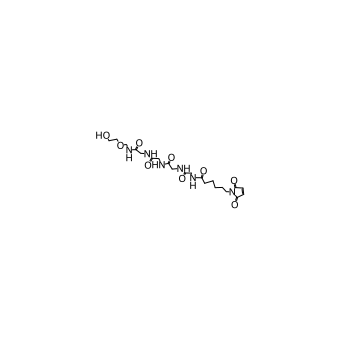 O=C(CCCCCN1C(=O)C=CC1=O)NCC(=O)NCC(=O)NCC(=O)NCC(=O)NCOCCO